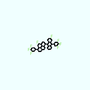 Fc1ccc2c(-c3ccc4c(F)cc5c(-c6cc(F)c(F)c(F)c6)ccc6ccc3c4c65)c3ccccc3c(-c3cc(F)c(F)c(F)c3)c2c1